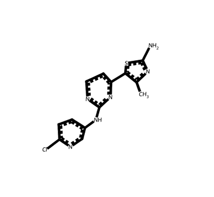 Cc1nc(N)sc1-c1ccnc(Nc2ccc(Cl)nc2)n1